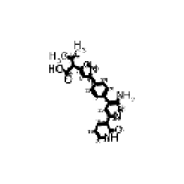 CC(C)C(C(=O)O)c1cc(-c2ccc(-c3cc(-c4ccc[nH]c4=O)nnc3N)cc2)no1